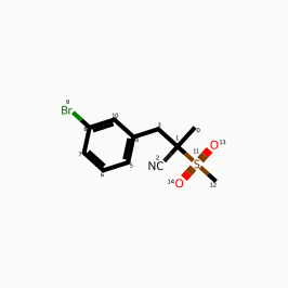 CC(C#N)(Cc1cccc(Br)c1)S(C)(=O)=O